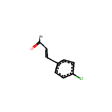 CC(C)C(=O)C=Cc1ccc(Cl)cc1